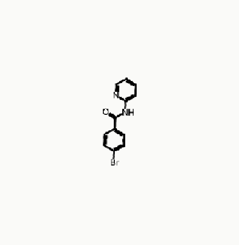 O=C(Nc1ccccn1)c1ccc(Br)cc1